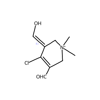 C[N+]1(C)CC(C=O)=C(Cl)/C(=C/O)C1